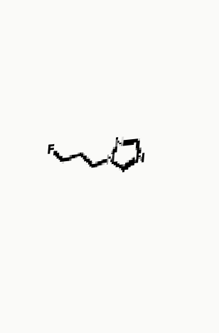 FCCCn1cncn1